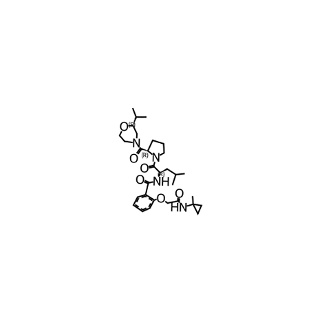 CC(C)C[C@@H](NC(=O)c1ccccc1OCC(=O)NC1(C)CC1)C(=O)N1CCC[C@@H]1C(=O)N1CCO[C@@H](C(C)C)C1